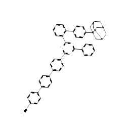 N#Cc1ccc(-c2ccc(-c3ccc(-c4nc(-c5ccccc5)nc(-c5ccccc5-c5ccc(C67C[C@H]8C[C@@H](C6)C[C@@H](C7)C8)cc5)n4)cc3)cc2)cc1